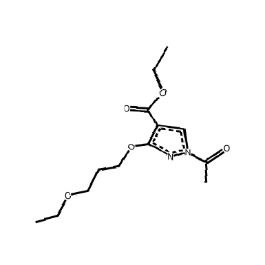 CCOCCCOc1nn(C(C)=O)cc1C(=O)OCC